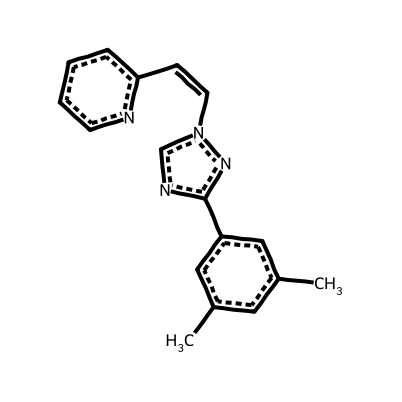 Cc1cc(C)cc(-c2ncn(/C=C\c3ccccn3)n2)c1